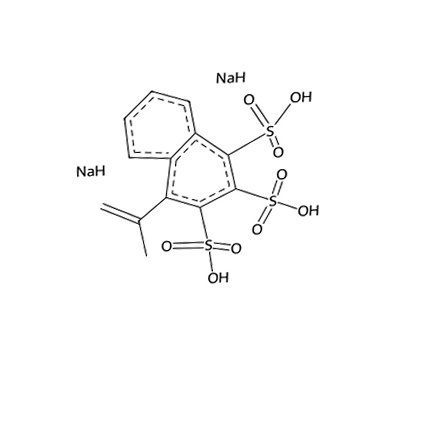 C=C(C)c1c(S(=O)(=O)O)c(S(=O)(=O)O)c(S(=O)(=O)O)c2ccccc12.[NaH].[NaH]